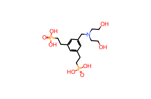 O=P(O)(O)CCc1cc(CCP(=O)(O)O)cc(CN(CCO)CCO)c1